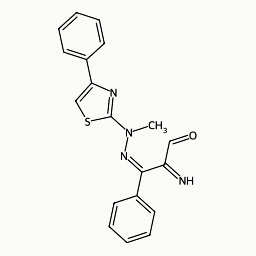 CN(/N=C(\C(=N)C=O)c1ccccc1)c1nc(-c2ccccc2)cs1